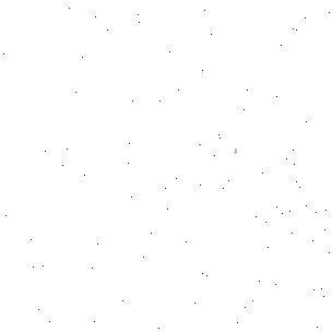 NNC(=O)[C@H]1CC[C@H](C(F)(F)C2CCCC2)CC1